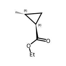 CCOC(=O)[C@@H]1C[C@H]1C